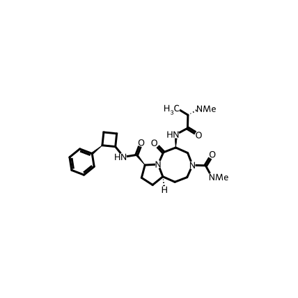 CNC(=O)N1CC[C@H]2CC[C@@H](C(=O)NC3CC[C@@H]3c3ccccc3)N2C(=O)[C@@H](NC(=O)[C@H](C)NC)C1